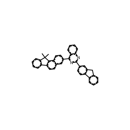 CC1(C)c2ccccc2-c2ccc3cc(-c4nc(-c5ccc6c(c5)Cc5ccccc5-6)nc5ccccc45)ccc3c21